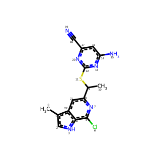 Cc1c[nH]c2c(Cl)nc(C(C)Sc3nc(N)cc(C#N)n3)cc12